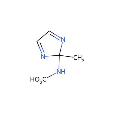 CC1(NC(=O)O)N=CC=N1